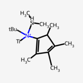 CC1=C(C)C(C)C([N+]([Ti])([SiH](C)C)C(C)(C)C)=C1C